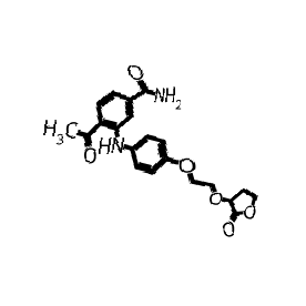 CC(=O)c1ccc(C(N)=O)cc1Nc1ccc(OCCOC2CCOC2=O)cc1